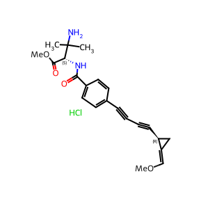 COC=C1C[C@@H]1C#CC#Cc1ccc(C(=O)N[C@H](C(=O)OC)C(C)(C)N)cc1.Cl